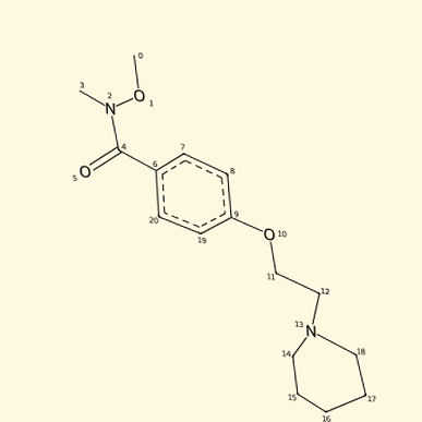 CON(C)C(=O)c1ccc(OCCN2CCCCC2)cc1